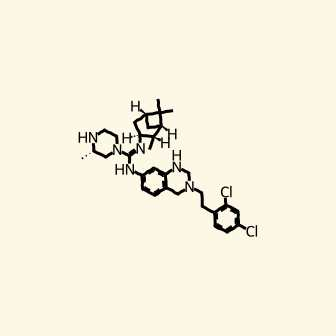 C[C@@H]1[C@@H](N=C(Nc2ccc3c(c2)NCN(CCc2ccc(Cl)cc2Cl)C3)N2CCN[C@@H](C)C2)C[C@H]2C[C@@H]1C2(C)C